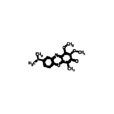 COc1c2nc3cc(N(C)C)ccc3oc-2c(C)c(=O)c1OC